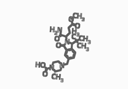 COC(=O)CCC(C(N)=O)N1C(=O)c2cc(CN3CCN(C(=O)O)[C@@H](C)C3)ccc2C1C(C)(C)C